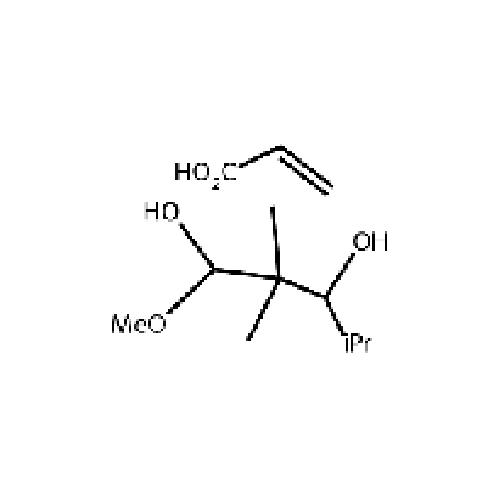 C=CC(=O)O.COC(O)C(C)(C)C(O)C(C)C